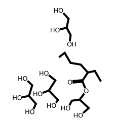 CCCCC(CC)C(=O)OC(CO)CO.OCC(O)CO.OCC(O)CO.OCC(O)CO